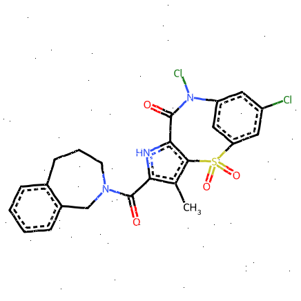 Cc1c(C(=O)N2CCCc3ccccc3C2)[nH]c2c1S(=O)(=O)c1cc(Cl)cc(c1)N(Cl)C2=O